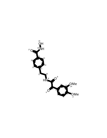 COc1ccc(C(=O)C(=O)NCCc2ccc(C(=O)NO)cc2)cc1OC